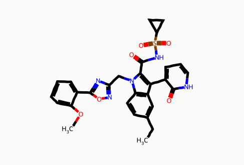 CCc1ccc2c(c1)c(-c1ccc[nH]c1=O)c(C(=O)NS(=O)(=O)C1CC1)n2Cc1noc(-c2ccccc2OC)n1